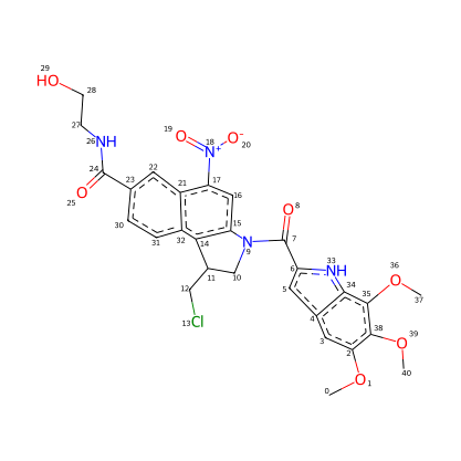 COc1cc2cc(C(=O)N3CC(CCl)c4c3cc([N+](=O)[O-])c3cc(C(=O)NCCO)ccc43)[nH]c2c(OC)c1OC